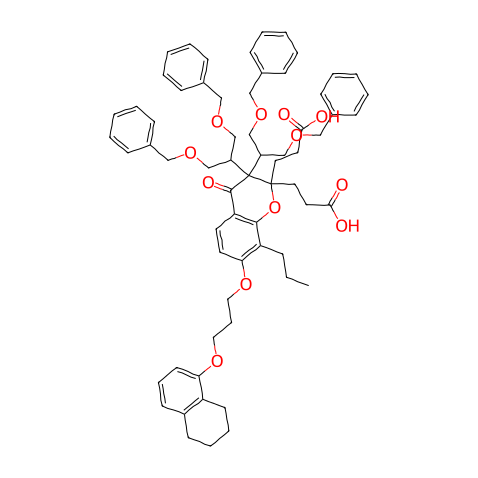 CCCc1c(OCCCOc2cccc3c2CCCC3)ccc2c1OC(CCC(=O)O)(CCC(=O)O)C(C(COCc1ccccc1)COCc1ccccc1)(C(COCc1ccccc1)COCc1ccccc1)C2=O